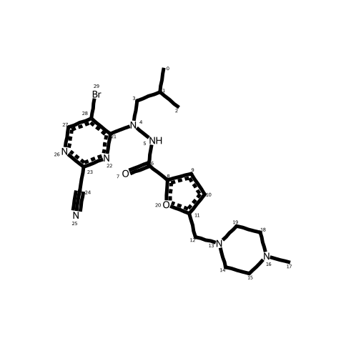 CC(C)CN(NC(=O)c1ccc(CN2CCN(C)CC2)o1)c1nc(C#N)ncc1Br